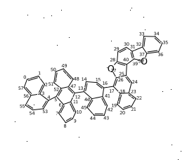 c1ccc2c(-c3c4ccccc4c(-c4ccc(-c5c6ccccc6cc6c5oc5ccc7c8ccccc8oc7c56)c5ccccc45)c4ccccc34)cccc2c1